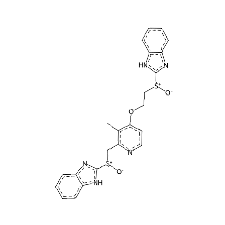 Cc1c(OCC[S+]([O-])c2nc3ccccc3[nH]2)ccnc1C[S+]([O-])c1nc2ccccc2[nH]1